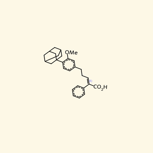 COc1cc(CC/C=C(/C(=O)O)c2ccccc2)ccc1C12CC3CC(CC(C3)C1)C2